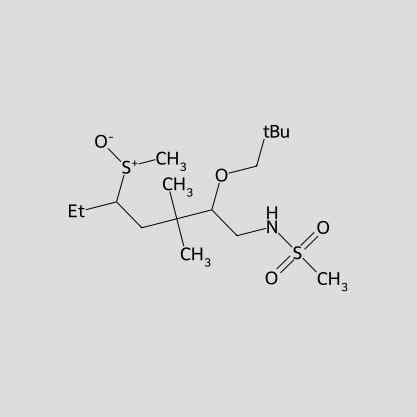 CCC(CC(C)(C)C(CNS(C)(=O)=O)OCC(C)(C)C)[S+](C)[O-]